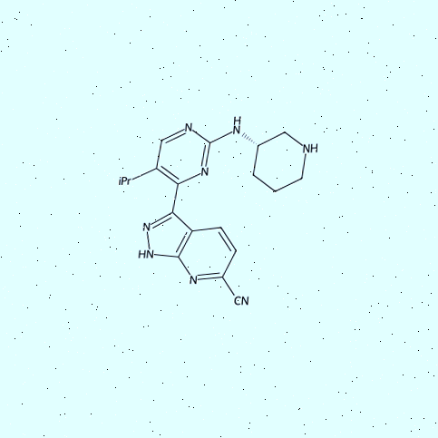 CC(C)c1cnc(N[C@H]2CCCNC2)nc1-c1n[nH]c2nc(C#N)ccc12